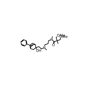 COCC(C)(COC)C(=O)N(C)CCCN(C)CCC1(O)CC2CCC1C=C2c1ccccc1